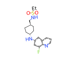 CCS(=O)(=O)NC[C@H]1CC[C@H](Nc2cc(F)c3ncccc3c2)CC1